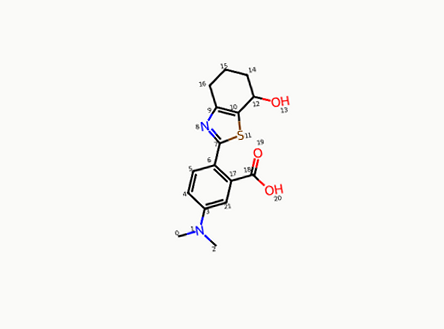 CN(C)c1ccc(-c2nc3c(s2)C(O)CCC3)c(C(=O)O)c1